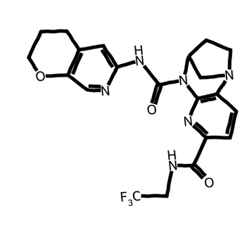 O=C(NCC(F)(F)F)c1ccc2c(n1)N(C(=O)Nc1cc3c(cn1)OCCC3)C1CCN2C1